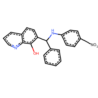 O=[N+]([O-])c1ccc(NC(c2ccccc2)c2ccc3cccnc3c2O)cc1